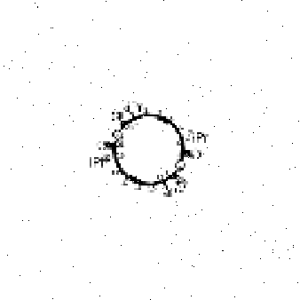 CC(C)[C@H]1CC=CC[C@H](C(C)C)C(=O)OC(=O)[C@@H](C(C)C)CC=CC[C@H](C(C)C)C(=O)OC1=O